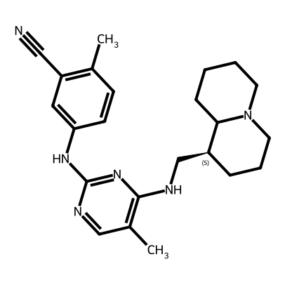 Cc1ccc(Nc2ncc(C)c(NC[C@@H]3CCCN4CCCCC34)n2)cc1C#N